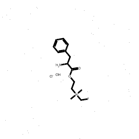 C[N+](C)(CF)CCOC(=O)C(N)Cc1ccccc1.Cl.[Cl-]